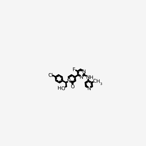 Cc1cnccc1Nc1ncc(F)c(-c2ccn(C(CO)c3ccc(Cl)cc3)c(=O)c2)n1